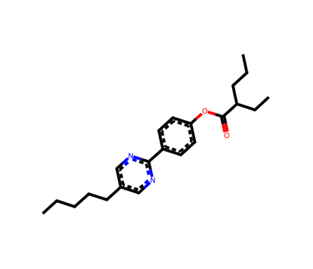 CCCCCc1cnc(-c2ccc(OC(=O)C(CC)CCC)cc2)nc1